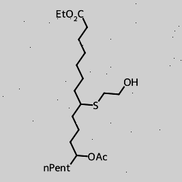 CCCCCC(CCCC(CCCCCCC(=O)OCC)SCCO)OC(C)=O